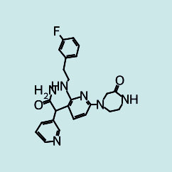 NC(=O)C(c1cccnc1)c1ccc(N2CCNC(=O)C2)nc1NCCc1cccc(F)c1